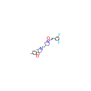 Cc1ccc2c(c1)OCC21CCN(CCC2CCN(C(=O)/C=C/c3cc(F)cc(F)c3)CC2)CC1C